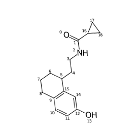 O=C(NCCC1CCCc2ccc(O)cc21)C1CC1